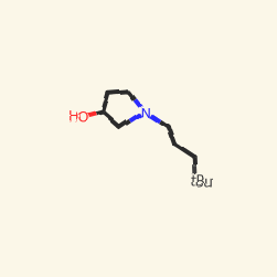 CC(C)(C)CCCN1CCC(O)C1